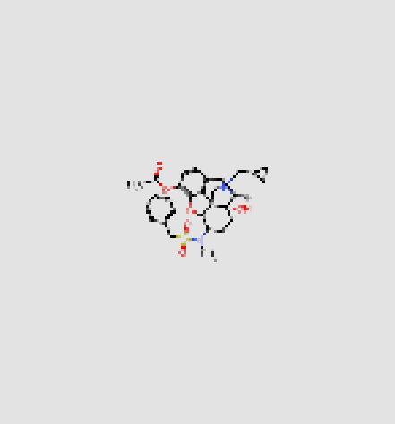 CC(=O)Oc1ccc2c3c1OC1C(N(C)S(=O)(=O)Cc4ccccc4)CC[C@@]4(O)[C@@H](C2)N(CC2CC2)CC[C@]314